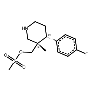 C[C@@]1(COS(C)(=O)=O)CNCC[C@@H]1c1ccc(F)cc1